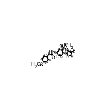 COc1ccc(CC(=O)Nc2ccc(-n3cc(F)cn3)c(S(N)(=O)=O)c2)cc1